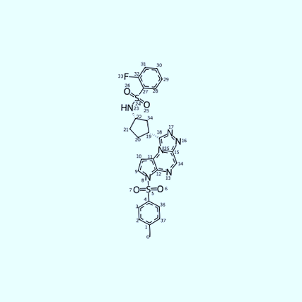 Cc1ccc(S(=O)(=O)n2ccc3c2ncc2nnc([C@@H]4CC[C@H](NS(=O)(=O)c5ccccc5F)C4)n23)cc1